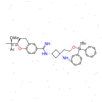 CO[C@](C)(C(C)=O)[C@H]1CCc2cc(C(=N)N[C@H]3C[C@](N)(CCO[Si](c4ccccc4)(c4ccccc4)C(C)(C)C)C3)ccc2O1